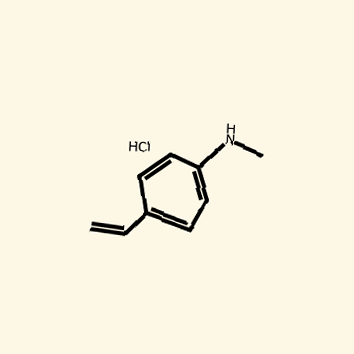 C=Cc1ccc(NC)cc1.Cl